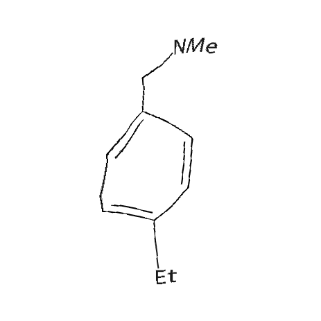 [CH2-][NH2+]Cc1ccc(CC)cc1